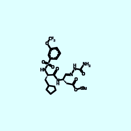 CC(C)(C)OC(=O)C[C@@H](/C=N/NC(N)=O)NC(=O)[C@H](CC1CCCC1)NS(=O)(=O)c1cccc(OC(F)(F)F)c1